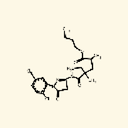 CCCCOC(=O)C(C)CC(C)(CC)C(=O)NC1=NN(c2cc(Cl)ccc2Cl)C(=O)C1